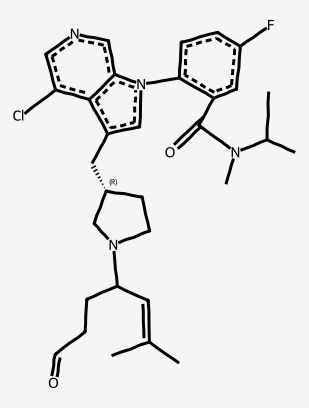 CC(C)=CC(CCC=O)N1CC[C@@H](Cc2cn(-c3ccc(F)cc3C(=O)N(C)C(C)C)c3cncc(Cl)c23)C1